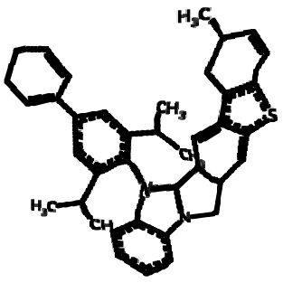 CC(C)c1cc(C2=CCCC=C2)cc(C(C)C)c1N1c2ccccc2N2CC3C=c4sc5c(c4=CC3C21)C[C@@H](C)C=C5